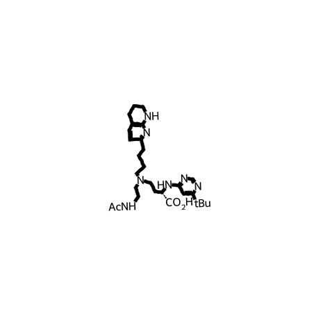 CC(=O)NCCN(CCCCc1ccc2c(n1)NCCC2)CC[C@H](Nc1cc(C(C)(C)C)ncn1)C(=O)O